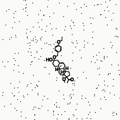 CCOc1ccc(COC2(O)CC[C@@]3(C)C(=CC[C@@H]4[C@@H]3CC[C@@]3(C)[C@H]4CC[C@]3(OC)C(C)=O)C2)cc1